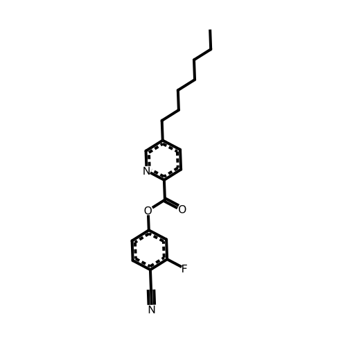 CCCCCCCc1ccc(C(=O)Oc2ccc(C#N)c(F)c2)nc1